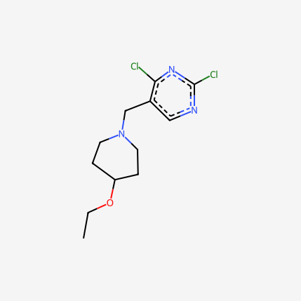 CCOC1CCN(Cc2cnc(Cl)nc2Cl)CC1